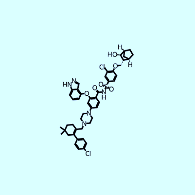 CC1(C)CCC(CN2CCN(c3ccc(C(=O)NS(=O)(=O)c4ccc(OC[C@H]5[C@@H]6CC[C@H](C6)[C@@H]5O)c(Cl)c4)c(Oc4cccc5[nH]ncc45)c3)CC2)=C(c2ccc(Cl)cc2)C1